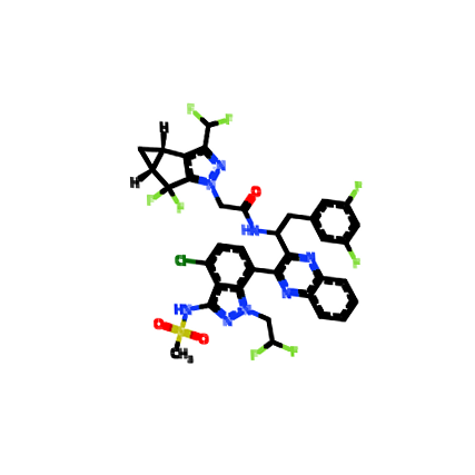 CS(=O)(=O)Nc1nn(CC(F)F)c2c(-c3nc4ccccc4nc3C(Cc3cc(F)cc(F)c3)NC(=O)Cn3nc(C(F)F)c4c3C(F)(F)[C@@H]3C[C@H]43)ccc(Cl)c12